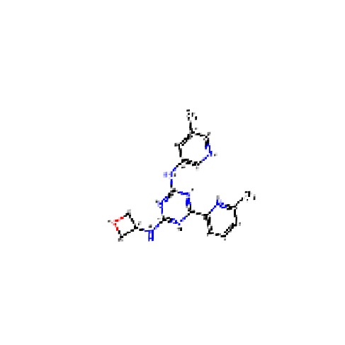 Cc1cccc(-c2nc(Nc3cncc(C(F)(F)F)c3)nc(NC3COC3)n2)n1